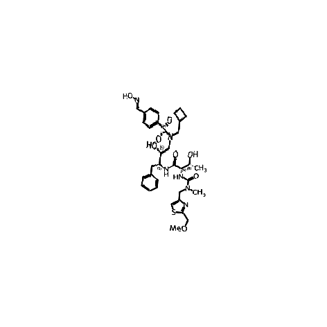 COCc1nc(CN(C)C(=O)N[C@H](C(=O)N[C@@H](Cc2ccccc2)[C@@H](O)CN(CC2CCC2)S(=O)(=O)c2ccc(C=NO)cc2)[C@@H](C)O)cs1